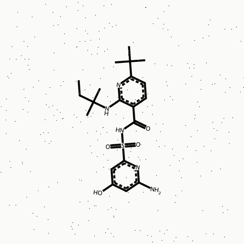 CCC(C)(C)Nc1nc(C(C)(C)C)ccc1C(=O)NS(=O)(=O)c1cc(O)cc(N)n1